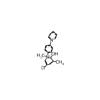 CC1=CC(Cl)=C[N+](C)(c2ccc(-[n+]3ccccc3)cc2)C1O